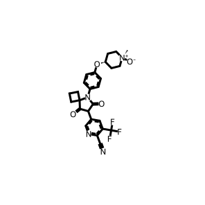 C[N@+]1([O-])CC[C@H](Oc2ccc(N3C(=O)C(c4cnc(C#N)c(C(F)(F)F)c4)C(=O)C34CCC4)cc2)CC1